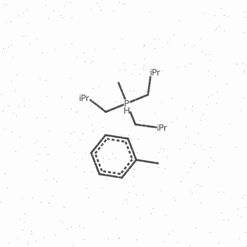 CC(C)C[PH](C)(CC(C)C)CC(C)C.Cc1ccccc1